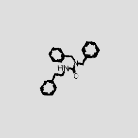 O=C(NCCc1ccccc1)N(Cc1ccccc1)Cc1ccccc1